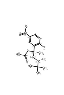 CC(C)(C)[S@@+]([O-])N[C@@](C)(CC(=O)O)c1cc([N+](=O)[O-])ccc1F